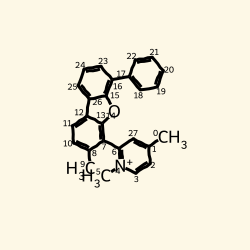 Cc1cc[n+](C)c(-c2c(C)ccc3c2oc2c(-c4ccccc4)cccc23)c1